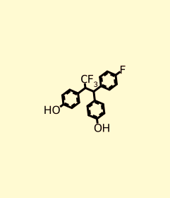 Oc1ccc(C(c2ccc(F)cc2)C(c2ccc(O)cc2)C(F)(F)F)cc1